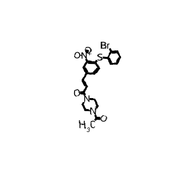 CC(=O)N1CCN(C(=O)C=Cc2ccc(Sc3ccccc3Br)c([N+](=O)[O-])c2)CC1